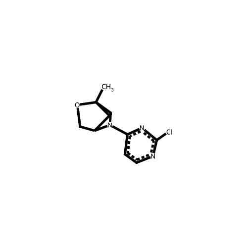 CC12CC(CO1)N(c1ccnc(Cl)n1)C2